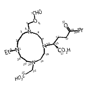 CCN1CCN(COC=O)CCN([C@@H](CCC(=O)C(C)C)C(=O)O)CCN(CC(=O)O)CC1